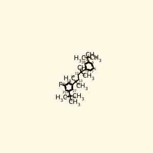 CC(C)(C)c1cccc(C(C)(C)CCC(C)(C)c2cc(F)cc(C(C)(C)C)c2)c1